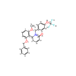 COc1cccc(OCc2ccccc2)c1C1CC=CC(=O)N1Cc1ccc(OC(F)(F)F)cc1